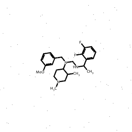 COc1cccc(CN(CNC(C)c2cccc(F)c2F)C2CCN(C)CC2C)c1